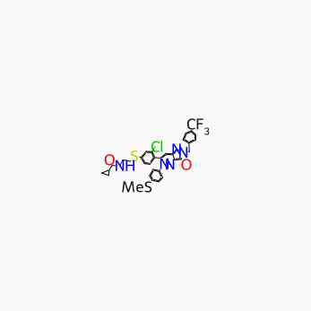 CSc1ccc(-n2nc3c(=O)n(Cc4ccc(C(F)(F)F)cc4)nc-3cc2-c2ccc(SCCNC(=O)C3CC3)cc2Cl)cc1